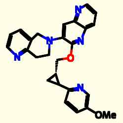 COc1ccc(C2C[C@@H]2COc2nc3cccnc3cc2N2CCc3ncccc3C2)nc1